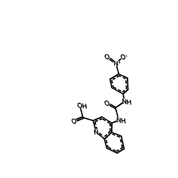 O=C(Nc1ccc([N+](=O)[O-])cc1)Nc1cc(C(=O)O)nc2ccccc12